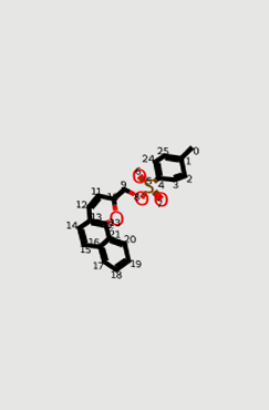 Cc1ccc(S(=O)(=O)OCC2C=Cc3ccc4ccccc4c3O2)cc1